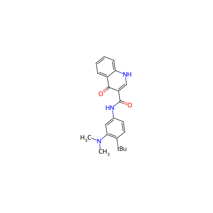 CN(C)c1cc(NC(=O)c2c[nH]c3ccccc3c2=O)ccc1C(C)(C)C